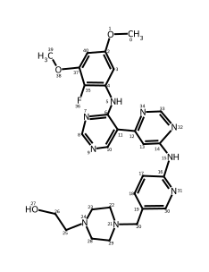 COc1cc(Nc2ncncc2-c2cc(Nc3ccc(CN4CCN(CCO)CC4)cn3)ncn2)c(F)c(OC)c1